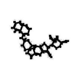 O=C1CCC(N2Cc3cc4c(cc3C2=O)OCC42CCN(Cc3cccc4cccnc34)CC2)C(=O)N1